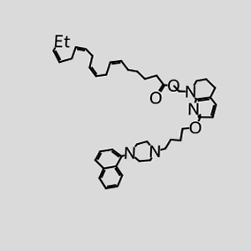 CC/C=C\C/C=C\C/C=C\C/C=C\CCCCC(=O)OCN1CCCc2ccc(OCCCCN3CCN(c4cccc5ccccc45)CC3)nc21